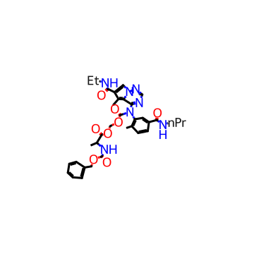 CCCNC(=O)c1ccc(C)c(N(C(=O)OCOC(=O)C(C)NC(=O)OCc2ccccc2)c2ncnn3cc(C(=O)NCC)c(C)c23)c1